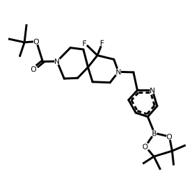 CC(C)(C)OC(=O)N1CCC2(CCN(Cc3ccc(B4OC(C)(C)C(C)(C)O4)cn3)CC2(F)F)CC1